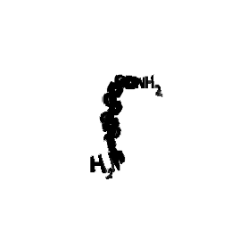 C=C/C(N)=C\C=C(/C)Oc1ccc(Oc2cccc(Oc3ccc(Oc4ccc(N)cc4)cc3)c2)cc1